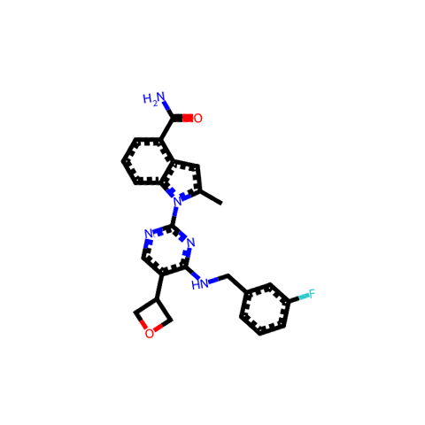 Cc1cc2c(C(N)=O)cccc2n1-c1ncc(C2COC2)c(NCc2cccc(F)c2)n1